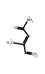 C=CC(C)=CC(N)=O